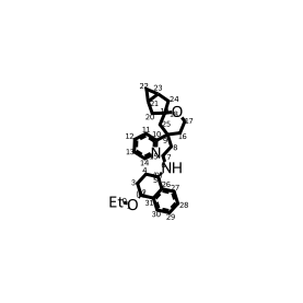 CCO[C@@H]1CC[C@@H](NCCC2(c3ccccn3)CCOC3(CC4CC4C3)C2)c2ccccc21